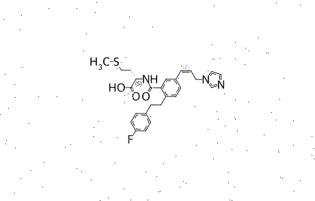 CSCC[C@H](NC(=O)c1cc(/C=C\Cn2ccnc2)ccc1CCc1ccc(F)cc1)C(=O)O